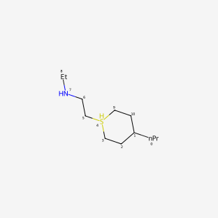 CCCC1CC[SH](CCNCC)CC1